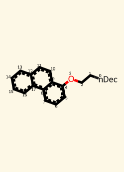 CCCCCCCCCCCCOc1cccc2c1ccc1ccccc12